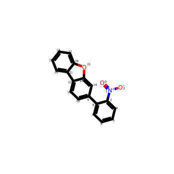 O=[N+]([O-])c1ccccc1-c1ccc2c(c1)oc1ccccc12